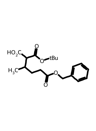 CC(CCC(=O)OCc1ccccc1)C(C(=O)O)C(=O)OC(C)(C)C